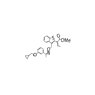 CC=C(C(=O)OC)c1sc2ccccc2c1CON=C(C)c1cccc(OCC2CC2)c1